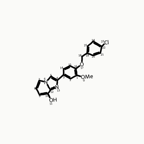 COc1cc(-c2cn3cccc(O)c3n2)ccc1OCc1ccc(Cl)cc1